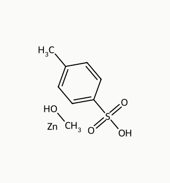 CO.Cc1ccc(S(=O)(=O)O)cc1.[Zn]